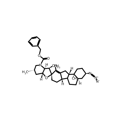 CC1=C2C[C@H]3C(CC[C@@H]4C[C@H](N=[N+]=[N-])CC[C@@]43C)[C@@H]2CC[C@]12O[C@@H]1C[C@H](C)CN(C(=O)OCc3ccccc3)[C@H]1[C@H]2C